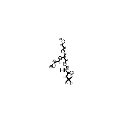 COCCOCC(COCNC(=O)CC(C)(C)C)OCCOC